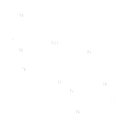 Cn1cncc1/C(=N\O)c1cncc(CNC(c2cccnc2)c2cncn2C)c1